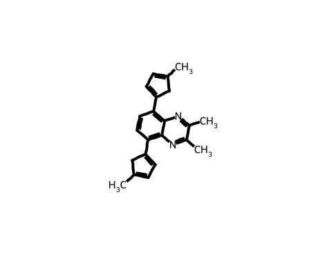 CC1=CC=C(c2ccc(C3=CC=C(C)C3)c3nc(C)c(C)nc23)C1